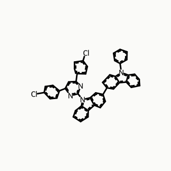 Clc1ccc(-c2cc(-c3ccc(Cl)cc3)nc(-n3c4ccccc4c4ccc(-c5ccc6c(c5)c5ccccc5n6-c5ccccc5)cc43)n2)cc1